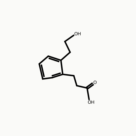 O=C(O)CCc1ccccc1CCO